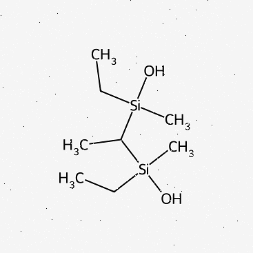 CC[Si](C)(O)C(C)[Si](C)(O)CC